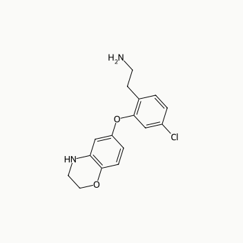 NCCc1ccc(Cl)cc1Oc1ccc2c(c1)NCCO2